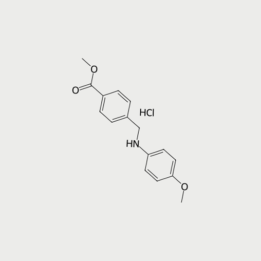 COC(=O)c1ccc(CNc2ccc(OC)cc2)cc1.Cl